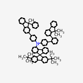 CC(C)(C)c1ccc2c(c1)C1(c3cc(C(C)(C)C)ccc3-2)c2ccccc2-c2c(N(c3ccc(-c4ccc5c(c4)C(C)(c4ccccc4)c4ccccc4-5)cc3)c3ccc(-c4ccccc4-c4cccc5c4C(C)(C)c4ccccc4-5)cc3)cccc21